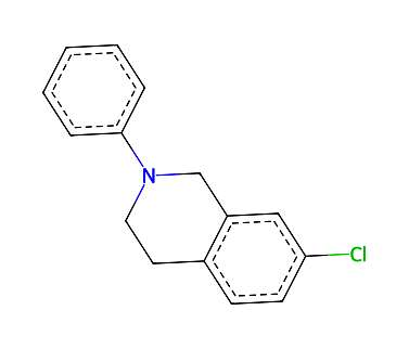 Clc1ccc2c(c1)CN(c1ccccc1)CC2